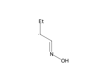 CC[CH]/C=N/O